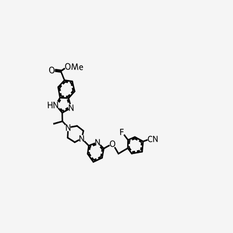 COC(=O)c1ccc2nc(C(C)N3CCN(c4cccc(OCc5ccc(C#N)cc5F)n4)CC3)[nH]c2c1